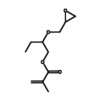 C=C(C)C(=O)OCC(CC)OCC1CO1